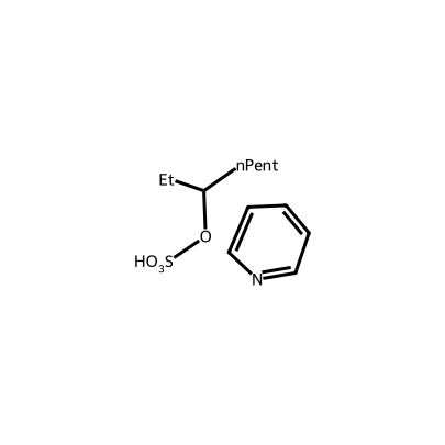 CCCCCC(CC)OS(=O)(=O)O.c1ccncc1